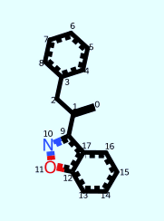 C=C(Cc1ccccc1)c1noc2ccccc12